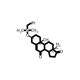 CC(C)C[Si](C)(C)O[C@H]1CC[C@@]2(C)C(=CC(=O)C3C2CC[C@]2(C)C(=O)CCC32)C1